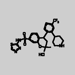 CC1(C)CC(c2ccc(C(F)(F)F)cc2C2CCNCC2)c2ccc(S(=O)(=O)Nc3nncs3)cc2O1.Cl